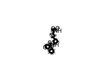 O=C(Nc1cccc(-c2csc(-c3noc(=O)[nH]3)c2)c1)C1(Oc2ccccc2)CCOCC1